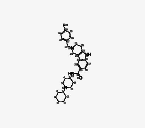 O=C(NC1CCN(C2CCCCC2)CC1)c1ccc2[nH]c3c(c2c1)CN(Cc1ccc(F)cc1)CC3